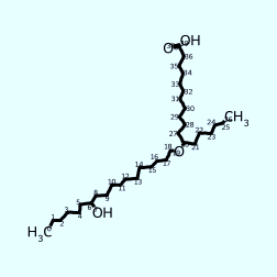 CCCCCCC(O)CCCCCCCCCCCOC(CCCCCC)CCCCCCCCCCC(=O)O